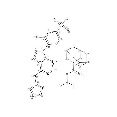 CC(C)OC(=O)C12CC3CC(CC(C3)C1)C2.CS(=O)(=O)c1ccc(-n2ncc3c(Nc4cc[nH]c4)ncnc32)c(F)c1